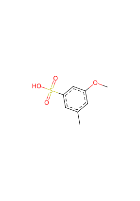 COc1cc(C)cc(S(=O)(=O)O)c1